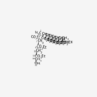 CCOC(C)=O.CCOC(C)=O.CCOC(C)=O.CCOC(C)=O.CCOC(C)=O.CCOC(C)=O.CCOC(C)=O.CCOC(C)=O.CCOC(C)=O.CCOC(C)=O.CO